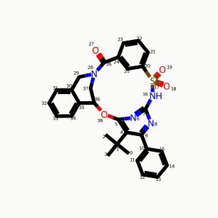 CC(C)(C)c1c2nc(nc1-c1ccccc1)NS(=O)(=O)c1cccc(c1)C(=O)N1Cc3ccccc3C(C1)O2